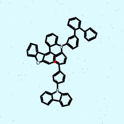 c1ccc(-c2ccccc2-c2cccc(N(c3ccc(-c4ccc(-n5c6ccccc6c6ccccc65)cc4)cc3)c3ccccc3-c3cccc4oc5ccccc5c34)c2)cc1